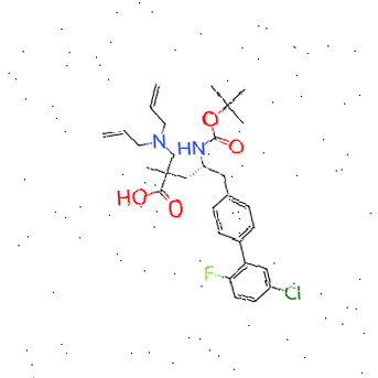 C=CCN(CC=C)CC(C)(C[C@@H](Cc1ccc(-c2cc(Cl)ccc2F)cc1)NC(=O)OC(C)(C)C)C(=O)O